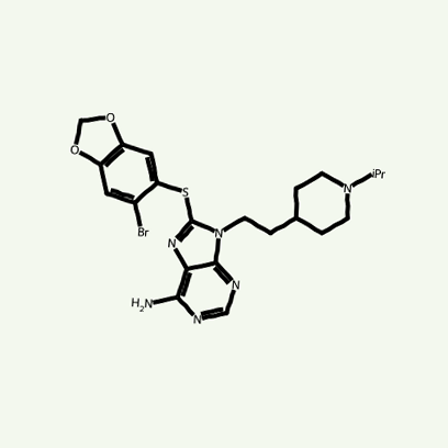 CC(C)N1CCC(CCn2c(Sc3cc4c(cc3Br)OCO4)nc3c(N)ncnc32)CC1